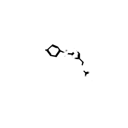 CC(=O)OCc1cnc(S(=O)(=O)c2ccc(C)cc2)[nH]1